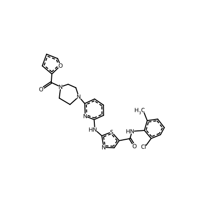 Cc1cccc(Cl)c1NC(=O)c1cnc(Nc2cccc(N3CCN(C(=O)c4ccco4)CC3)n2)s1